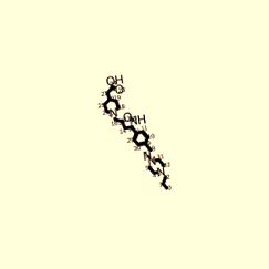 CCCN1CCN(N=Cc2ccc(C3CC(CN4CCC(CC(=O)O)CC4)ON3)cc2)CC1